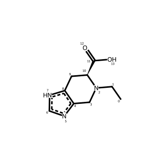 CCN1Cc2nc[nH]c2C[C@H]1C(=O)O